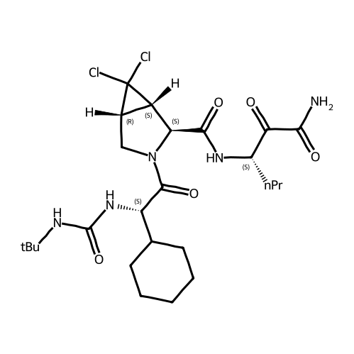 CCC[C@H](NC(=O)[C@@H]1[C@@H]2[C@H](CN1C(=O)[C@@H](NC(=O)NC(C)(C)C)C1CCCCC1)C2(Cl)Cl)C(=O)C(N)=O